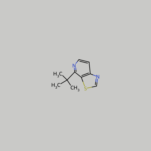 CC(C)(C)c1nccc2ncsc12